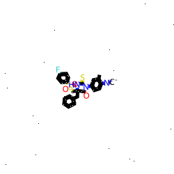 [C-]#[N+]c1ccc(N2C(=O)C(Cc3ccccc3)(CS(=O)(=O)c3ccc(F)cc3)NC2=S)cc1C